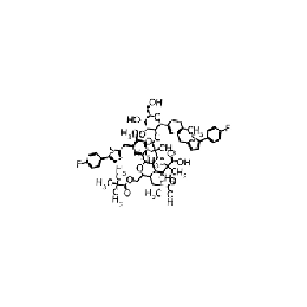 Cc1ccc(C2OC(COC(=O)C(C)(C)C)C(CC(C)(C)C(=O)O)C(CC(C)(C)C(=O)O)C2CC(C)(C)C(=O)O[C@H]2[C@H](O)[C@@H](O)[C@@H](CO)O[C@H]2c2ccc(C)c(Cc3ccc(-c4ccc(F)cc4)s3)c2)cc1Cc1ccc(-c2ccc(F)cc2)s1